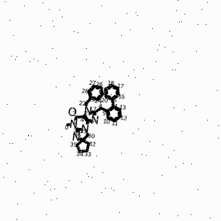 CN1C(=O)c2c(nc(Cc3ccccc3-c3ccccc3)n2Cc2ccccc2)N2CC3(CCCC3)N=C12